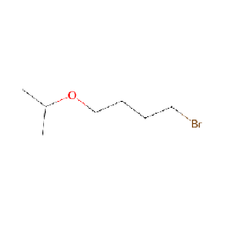 CC(C)OCCCCBr